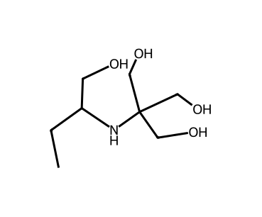 CCC(CO)NC(CO)(CO)CO